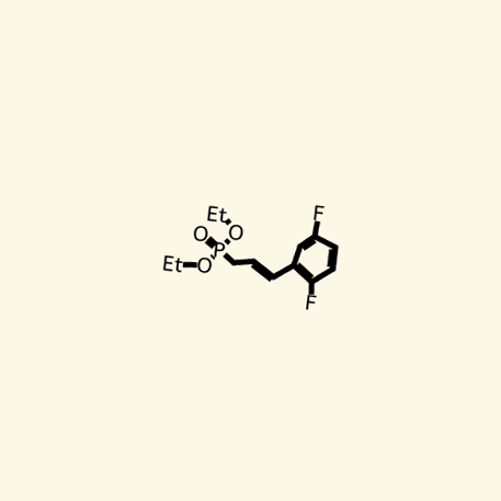 CCOP(=O)(CC=Cc1cc(F)ccc1F)OCC